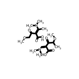 COC(C)C(=O)C(=CN(C)C)C(=O)O.COCC(=O)C(C(=O)O)=C(C)N(C)C